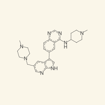 CN1CCC(Nc2ncnc3ccc(-c4c[nH]c5ncc(CN6CCN(C)CC6)cc45)cc23)CC1